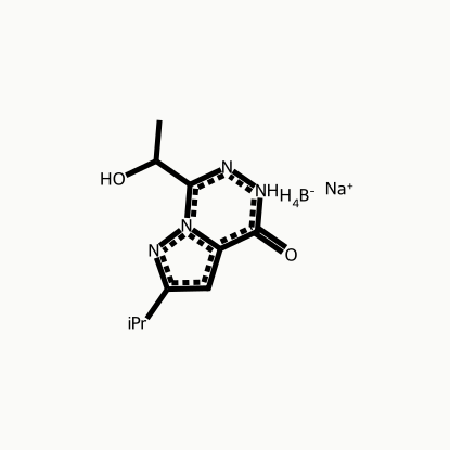 CC(C)c1cc2c(=O)[nH]nc(C(C)O)n2n1.[BH4-].[Na+]